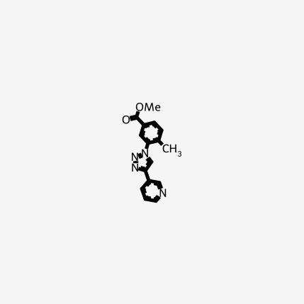 COC(=O)c1ccc(C)c(-n2cc(-c3cccnc3)nn2)c1